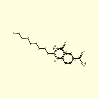 CCCCCCCCCc1nc2ccc(C(=O)O)cc2c(=O)[nH]1